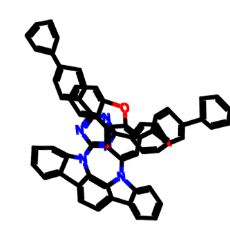 c1ccc(-c2ccc(-c3nc(-c4ccccc4)nc(-n4c5ccccc5c5ccc6c7ccccc7n(-c7cc(-c8ccc(-c9ccccc9)cc8)c8oc9ccccc9c8c7)c6c54)n3)cc2)cc1